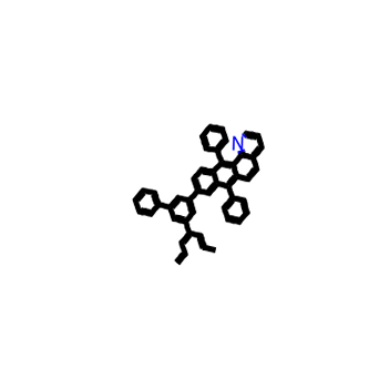 C=C/C=C(\C=C\C)c1cc(-c2ccccc2)cc(-c2ccc3c(-c4ccccc4)c4c(ccc5cccnc54)c(-c4ccccc4)c3c2)c1